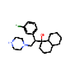 OC1(C(CN2CCNCC2)c2cccc(Cl)c2)CCCC2CCCCC21